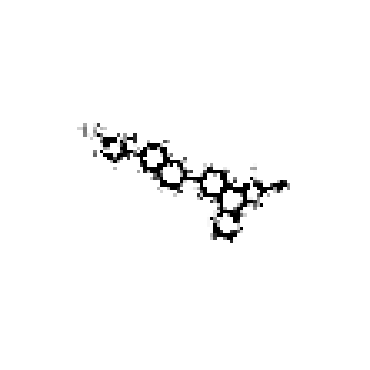 Cc1ncc(-c2ccc3cc(-c4ccc5c(c4)c4nccnc4c4nc(C(C)C)[nH]c54)ccc3c2)[nH]1